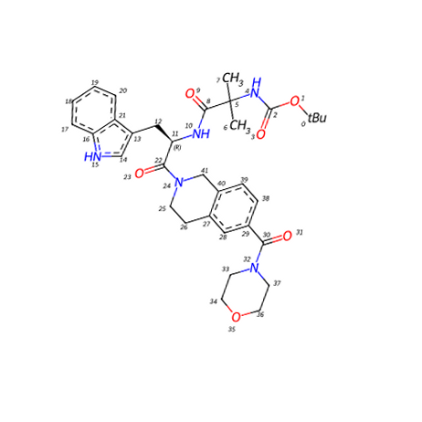 CC(C)(C)OC(=O)NC(C)(C)C(=O)N[C@H](Cc1c[nH]c2ccccc12)C(=O)N1CCc2cc(C(=O)N3CCOCC3)ccc2C1